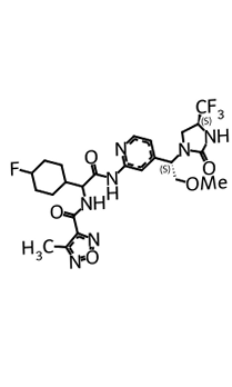 COC[C@H](c1ccnc(NC(=O)C(NC(=O)c2nonc2C)C2CCC(F)CC2)c1)N1C[C@@H](C(F)(F)F)NC1=O